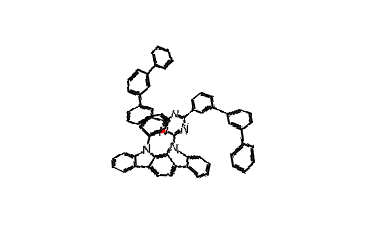 c1ccc(-c2cccc(-c3cccc(-c4nc(-c5cccc(-c6cccc(-c7ccccc7)c6)c5)nc(-n5c6ccccc6c6ccc7c8ccccc8n(-c8ccccc8)c7c65)n4)c3)c2)cc1